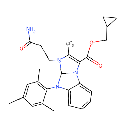 Cc1cc(C)c(N2c3ccccc3N3C(C(=O)OCC4CC4)=C(C(F)(F)F)N(CCC(N)=O)C32)c(C)c1